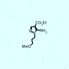 CCOC(=O)c1cnn(CCCOC)c1N